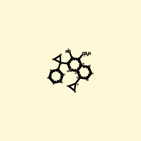 O=C(O)c1c(O)c(C2(c3ccccc3)CC2)nc2c(C3CC3)cccc12